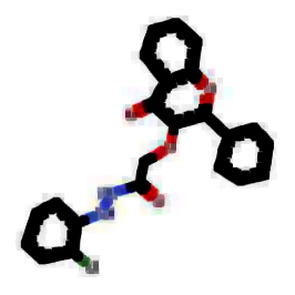 O=C(COc1c(-c2ccccc2)oc2ccccc2c1=O)NNc1ccccc1Cl